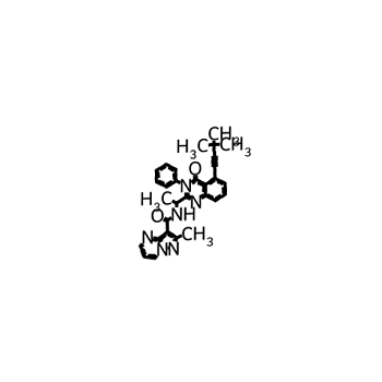 Cc1nn2cccnc2c1C(=O)NC(C)c1nc2cccc(C#CC(C)(C)C)c2c(=O)n1-c1ccccc1